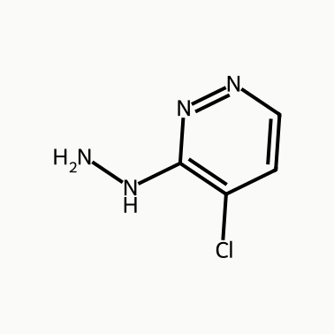 NNc1nnccc1Cl